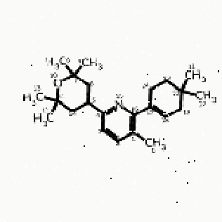 Cc1ccc(C2CC(C)(C)OC(C)(C)C2)nc1C1=CCC(C)(C)CC1